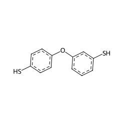 Sc1ccc(Oc2cccc(S)c2)cc1